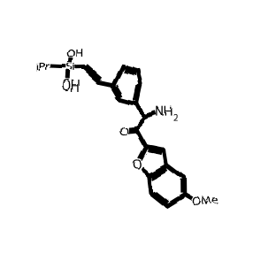 COc1ccc2oc(C(=O)C(N)c3cccc(C=C[Si](O)(O)C(C)C)c3)cc2c1